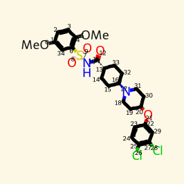 COc1ccc(OC)c(S(=O)(=O)NC(=O)[C@H]2CC[C@H](N3CCC(Oc4ccc(Cl)c(Cl)c4)CC3)CC2)c1